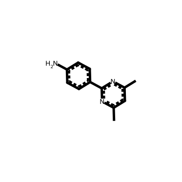 Cc1cc(C)nc(-c2ccc(N)cc2)n1